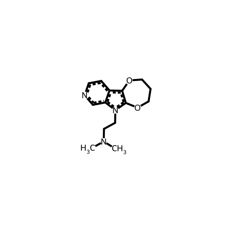 CN(C)CCn1c2c(c3ccncc31)OCCCO2